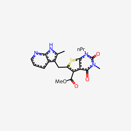 CCCn1c(=O)n(C)c(=O)c2c(C(=O)OC)c(Cc3c(C)[nH]c4ncccc34)sc21